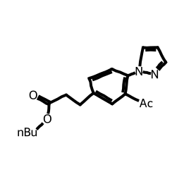 CCCCOC(=O)CCc1ccc(-n2cccn2)c(C(C)=O)c1